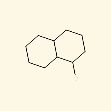 [O]C1CCCC2CCCCC12